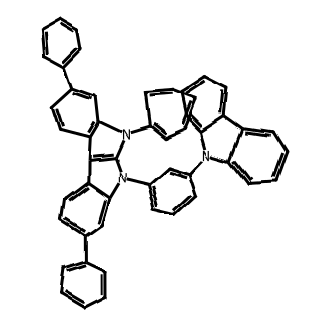 c1ccc(-c2ccc3c4c5ccc(-c6ccccc6)cc5n(-c5cccc(-n6c7ccccc7c7ccccc76)c5)c4n(-c4ccccc4)c3c2)cc1